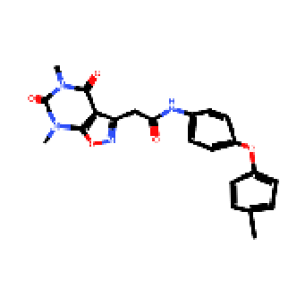 Cc1ccc(Oc2ccc(NC(=O)Cc3noc4c3c(=O)n(C)c(=O)n4C)cc2)cc1